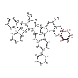 N#Cc1cc2c(c3c1C1c4ccccc4C3c3ccccc31)c1c3ccc(-c4ccccc4)cc3cc3c4c5c(c(C#N)cc4n2c31)C1c2ccccc2C12c1ccccc1C52